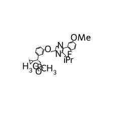 COc1ccc(F)c(-c2ncc(COc3cccc([C@@H](CP(C)(C)=O)C4CC4)c3)nc2CC(C)C)c1